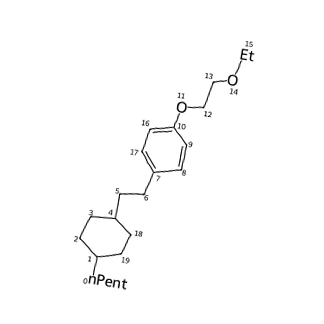 CCCCCC1CCC(CCc2ccc(OCCOCC)cc2)CC1